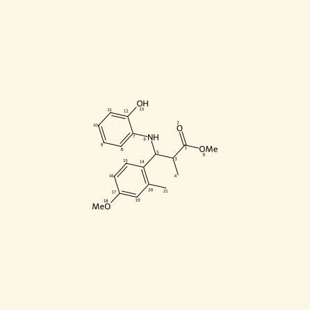 COC(=O)C(C)C(Nc1ccccc1O)c1ccc(OC)cc1C